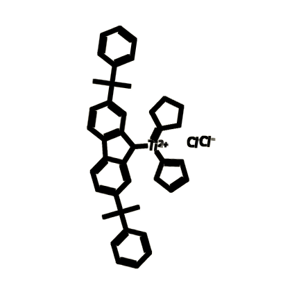 CC(C)(c1ccccc1)c1ccc2c(c1)[CH]([Ti+2]([C]1=CC=CC1)=[C]1CCCC1)c1cc(C(C)(C)c3ccccc3)ccc1-2.[Cl-].[Cl-]